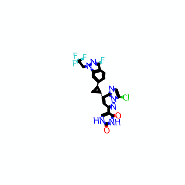 O=c1[nH]cc(-c2cc([C@@H]3C[C@H]3c3ccc4c(F)nn(CC(F)(F)F)c4c3)c3ncc(Cl)n3n2)c(=O)[nH]1